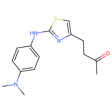 CC(=O)CCc1csc(Nc2ccc(N(C)C)cc2)n1